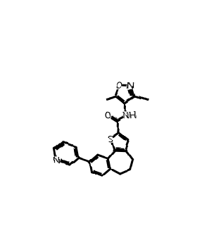 Cc1noc(C)c1NC(=O)c1cc2c(s1)-c1cc(-c3cccnc3)ccc1CCC2